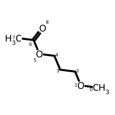 COCCCOC(C)=O